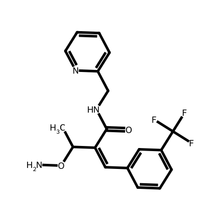 CC(ON)C(=Cc1cccc(C(F)(F)F)c1)C(=O)NCc1ccccn1